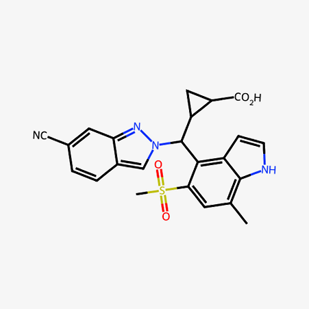 Cc1cc(S(C)(=O)=O)c(C(C2CC2C(=O)O)n2cc3ccc(C#N)cc3n2)c2cc[nH]c12